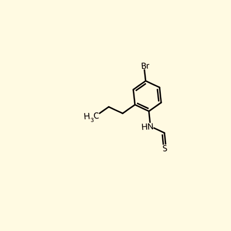 CCCc1cc(Br)ccc1NC=S